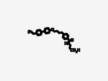 CC(C)Cc1ccc(-c2ccc(OCCCCc3ccc(C(=O)NCCC(=O)O)cc3)cc2)cc1